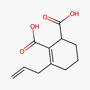 C=CCC1=C(C(=O)O)C(C(=O)O)CCC1